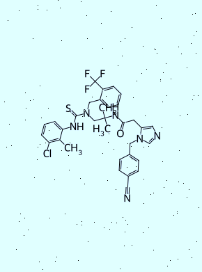 Cc1c(Cl)cccc1NC(=S)N(Cc1ccccc1C(F)(F)F)CC(C)(C)NC(=O)Cc1cncn1Cc1ccc(C#N)cc1